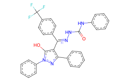 O=C(N/N=C(\c1ccc(C(F)(F)F)cc1)c1c(-c2ccccc2)nn(-c2ccccc2)c1O)Nc1ccccc1